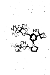 CC1(C)OB(c2cc(N3CCC[C@H]3CO[Si](C)(C)C(C)(C)C)cc(C3(O)COC3)c2)OC1(C)C